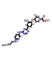 COCCNc1ccc(Nc2ncnc(-c3ccc(OC4CCN(C(=O)CO)CC4F)c(C#N)c3)n2)cn1